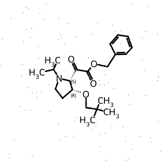 CC(C)N1CC[C@@H](OCC(C)(C)C)[C@H]1C(=O)C(=O)OCc1ccccc1